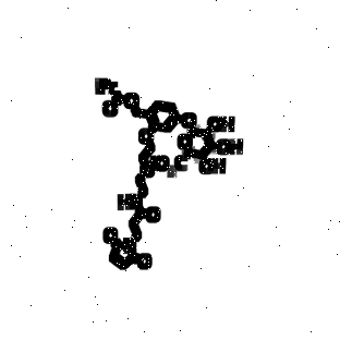 CC(C)C(=O)OCc1ccc(O[C@@H]2O[C@H](C(=O)O)[C@@H](O)[C@H](O)[C@H]2O)cc1OCCOCCNC(=O)CCN1C(=O)C=CC1=O